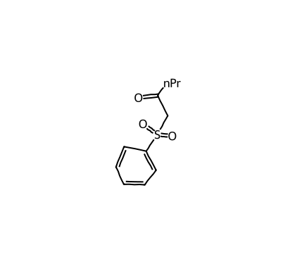 CCCC(=O)CS(=O)(=O)c1ccccc1